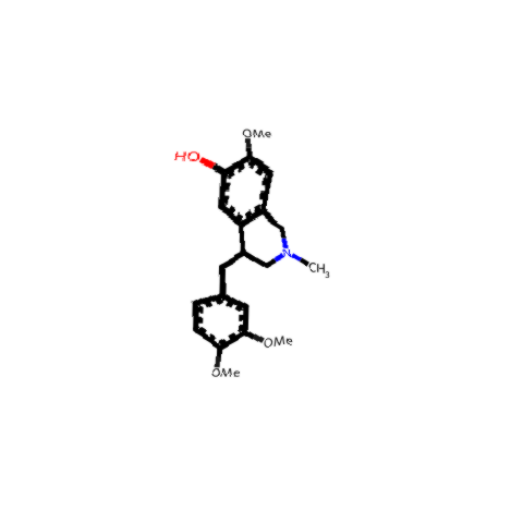 COc1cc2c(cc1O)C(Cc1ccc(OC)c(OC)c1)CN(C)C2